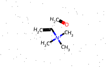 C=C[N+](C)(C)C.C=O